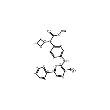 CC(C)(C)OC(=O)N(c1ccc(Nc2nc(-c3ccccc3)ccc2[N+](=O)[O-])cc1)C1CCC1